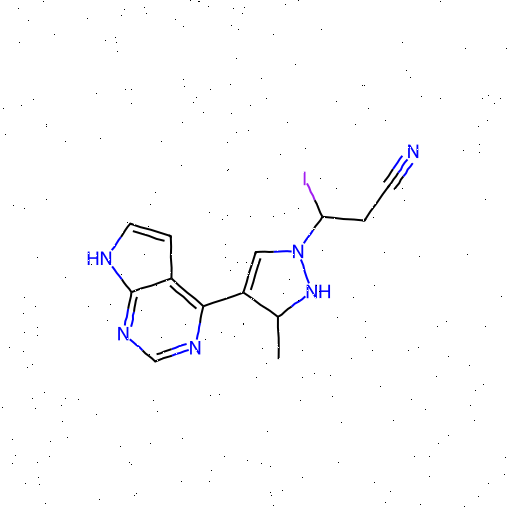 CC1NN(C(I)CC#N)C=C1c1ncnc2[nH]ccc12